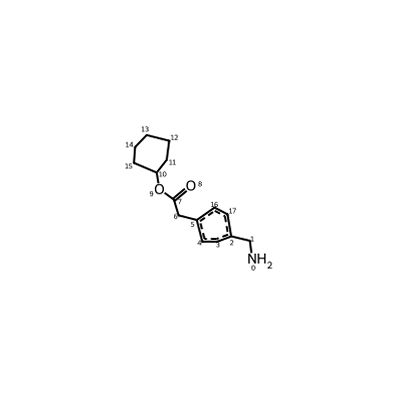 NCc1ccc(CC(=O)OC2CCCCC2)cc1